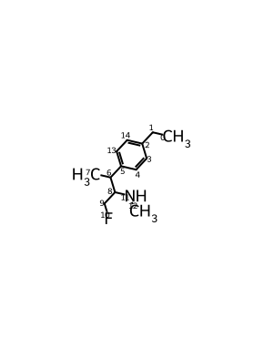 CCc1ccc(C(C)C(CF)NC)cc1